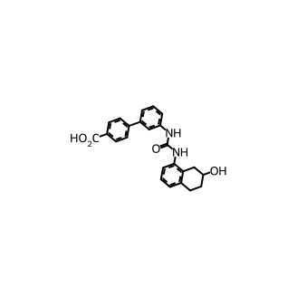 O=C(Nc1cccc(-c2ccc(C(=O)O)cc2)c1)Nc1cccc2c1CC(O)CC2